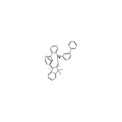 C=C/C=C1\C(=C/CN(c2cccc(-c3ccccc3)c2)c2ccccc2-c2ccccc2)C(C)(C)c2ccccc21